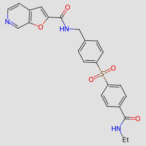 CCNC(=O)c1ccc(S(=O)(=O)c2ccc(CNC(=O)c3cc4ccncc4o3)cc2)cc1